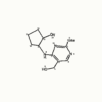 CSc1ncc(CO)c(NC2CCCC2O)n1